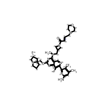 Cc1cc(N)nc(-c2ncc3c(N(C)CC4CN(C(=O)/C=C/CN5CCOCC5)C4)nc(OC[C@@]45CCCN4C[C@H](F)C5)nc3c2F)c1C(F)(F)F